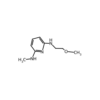 CNc1cccc(NCCOC)n1